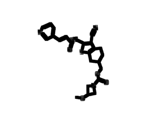 COC1CN(C(=O)OCC2CCc3c(sc(NC(=O)/C=C/c4cccnc4)c3C#N)C2)C1